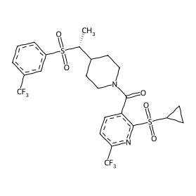 C[C@H](C1CCN(C(=O)c2ccc(C(F)(F)F)nc2S(=O)(=O)C2CC2)CC1)S(=O)(=O)c1cccc(C(F)(F)F)c1